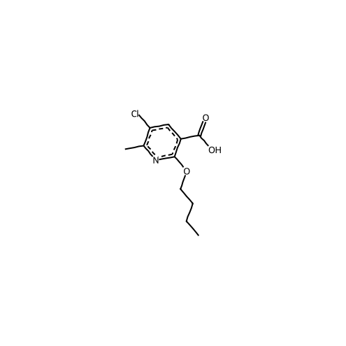 CCCCOc1nc(C)c(Cl)cc1C(=O)O